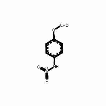 O=COc1ccc(N[SH](=O)=O)cc1